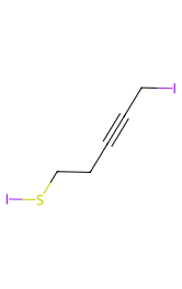 ICC#CCCSI